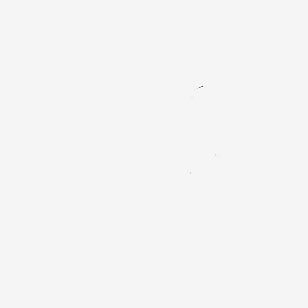 Cc1ccc(Cl)c(-c2cccc(-n3cnc4cc([C@H](C)O)ccc43)c2)c1F